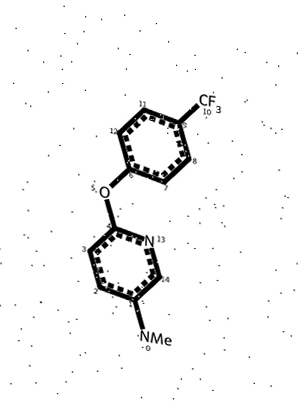 CNc1ccc(Oc2ccc(C(F)(F)F)cc2)nc1